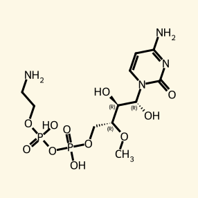 CO[C@H](COP(=O)(O)OP(=O)(O)OCCN)[C@@H](O)[C@@H](O)n1ccc(N)nc1=O